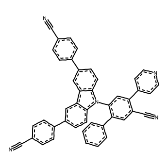 N#Cc1ccc(-c2ccc3c(c2)c2cc(-c4ccc(C#N)cc4)ccc2n3-c2cc(-c3ccncc3)c(C#N)cc2-c2ccccc2)cc1